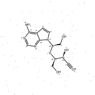 C#C[C@H](O)[C@@H](CO)O[C@H](CO)n1ccc2c(N)ncnc21